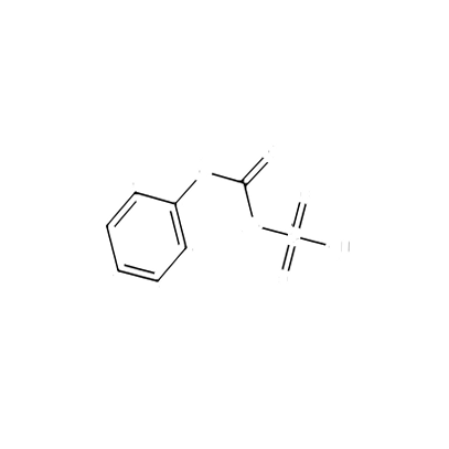 O=C(Oc1ccccc1)OS(=O)(=O)O